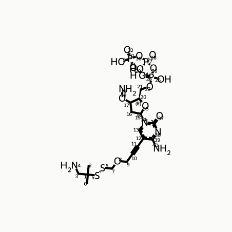 CC(C)(CN)SSCOCC#Cc1cn([C@H]2CC(ON)[C@@H](COP(=O)(O)OP(=O)(O)OP(=O)(O)O)O2)c(=O)nc1N